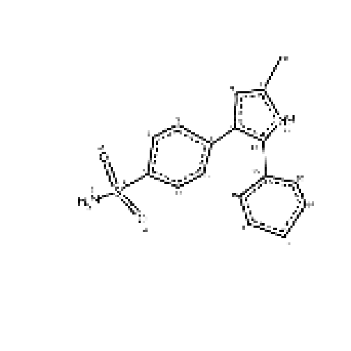 Cc1cc(-c2ccc(S(N)(=O)=O)cc2)c(-c2ccccc2)[nH]1